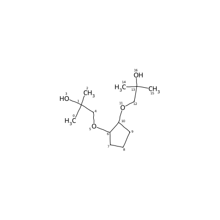 CC(C)(O)COC1CCCC1OCC(C)(C)O